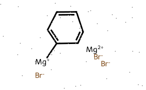 [Br-].[Br-].[Br-].[Mg+2].[Mg+][c]1ccccc1